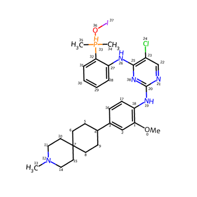 COc1cc(C2CCC3(CC2)CCN(C)CC3)ccc1Nc1ncc(Cl)c(Nc2ccccc2[PH](C)(C)OI)n1